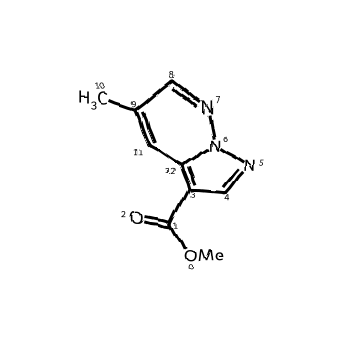 COC(=O)c1cnn2ncc(C)cc12